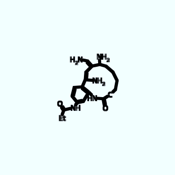 CCC(=O)Nc1ccc2c(c1)NC(=O)CCCCCC(N)C(=C/N)/C=C/2N